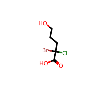 O=C(O)C(Cl)(Br)CCCO